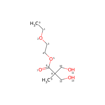 CCOCCOC(=O)C(C)(CO)CO